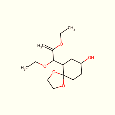 C=C(OCC)C(OCC)C1CC(O)CCC12OCCO2